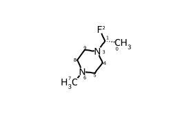 C[C@@H](F)N1CCN(C)CC1